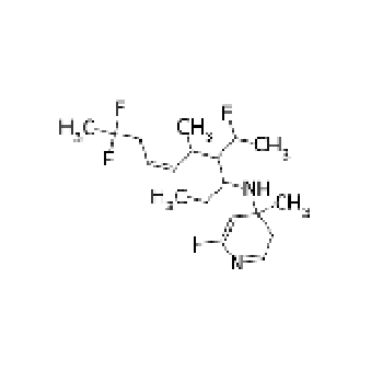 CCC(NC1(C)C=C(I)N=CC1)C(C(C)F)C(C)/C=C\CC(C)(F)F